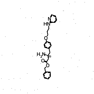 N[C@H](CC(=O)OCc1ccccc1)Cc1ccc(OCCCNc2ccccn2)cc1